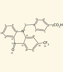 O=C(O)c1ccc(Cn2c3ccccc3c(=O)c3ccc(C(F)(F)F)cc32)cc1